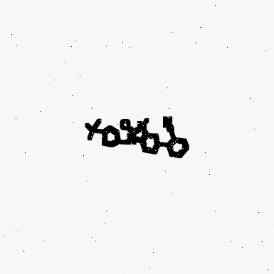 Cn1c(=O)n(Cc2ccc(C(C)(C)C)cc2)c2ccc(-c3ccccc3C#N)cc21